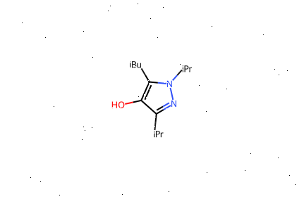 CCC(C)c1c(O)c(C(C)C)nn1C(C)C